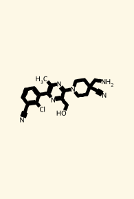 Cc1nc(N2CCC(C#N)(CN)CC2)c(CO)nc1-c1cccc(C#N)c1Cl